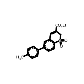 CCOC(=O)C1=Cc2cc(-c3ccc(C)cc3)ccc2S(=O)(=O)C1